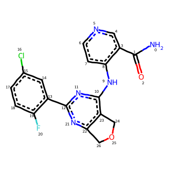 NC(=O)c1cnccc1Nc1nc(-c2cc(Cl)ccc2F)nc2c1COC2